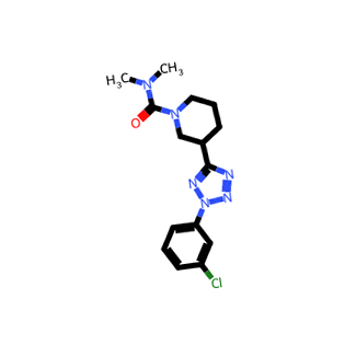 CN(C)C(=O)N1CCCC(c2nnn(-c3cccc(Cl)c3)n2)C1